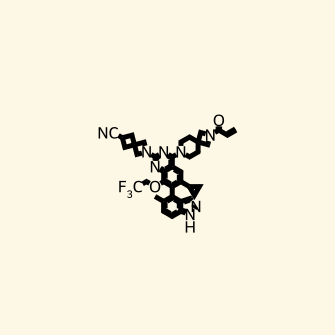 C=CC(=O)N1CC2(CCN(c3nc(N4CC5(CC(C#N)C5)C4)nc4c(OCC(F)(F)F)c(-c5c(C)ccc6[nH]ncc56)c(C5CC5)cc34)CC2)C1